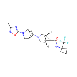 Cc1noc(N2CC3CCC2CC3N2C[C@@H]3C(C(=O)NC4(C(F)(F)F)CCC4)[C@@H]3C2)n1